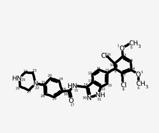 COc1cc(OC)c(Cl)c(-c2ccc3c(NC(=O)c4ccc(N5CCNCC5)cc4)n[nH]c3c2)c1Cl